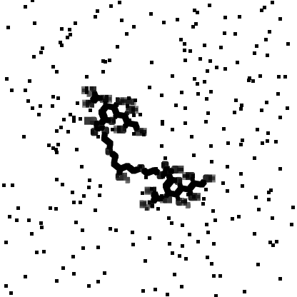 CC(=O)N[C@H]1[C@H]([C@H](O)[C@H](O)CO)OC(P(=O)(O)OCCOCCC(C)CCOCCOP(=O)(O)C2=C[C@H](NC(=N)N)[C@@H](C)[C@H]([C@H](O)[C@H](O)CO)O2)=C[C@@H]1NC(=N)N